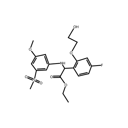 CCOC(=O)C(Nc1cc(OC)cc(S(C)(=O)=O)c1)c1ccc(F)cc1OCCO